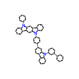 c1ccc(-c2cccc(-n3c4ccccc4c4ccc(-c5ccc(-n6c7ccccc7c7cc8c(cc76)c6ccccc6n8-c6ccccc6)cc5)cc43)c2)cc1